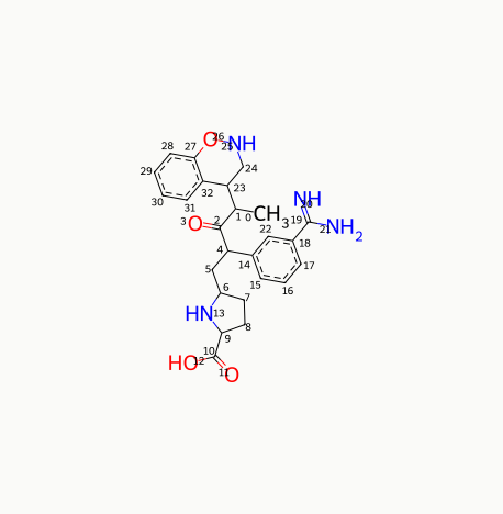 CC(C(=O)C(CC1CCC(C(=O)O)N1)c1cccc(C(=N)N)c1)C1CNOc2ccccc21